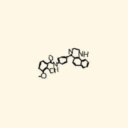 COc1cccc(C(=O)Nc2ccc(C3=NCCNc4c3ccc3ccccc43)cc2)c1Cl